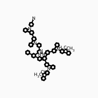 CC1(C)c2ccccc2-c2ccc(-n3c4ccccc4c4cc(-c5ccc6c(c5)c5cc(-c7ccc8c(c7)c7ccccc7n8-c7ccc8c(c7)C(C)(C)c7ccccc7-8)ccc5n6-c5nc(-c6cccc(-n7c8ccccc8c8cc(-c9ccc%10c(c9)c9ccccc9n%10-c9ccc(C#N)cc9)ccc87)c6)cc(-c6cc(-c7ccccc7)ccc6-c6ccccc6)n5)ccc43)cc21